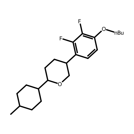 CCCCOc1ccc(C2CCC(C3CCC(C)CC3)OC2)c(F)c1F